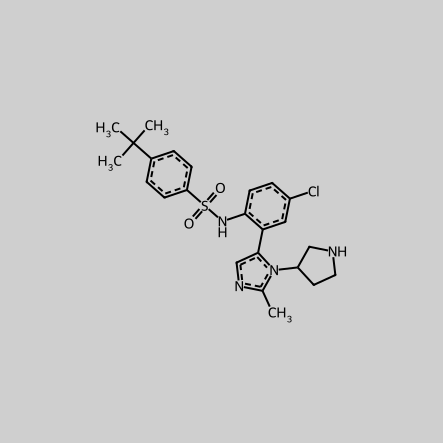 Cc1ncc(-c2cc(Cl)ccc2NS(=O)(=O)c2ccc(C(C)(C)C)cc2)n1C1CCNC1